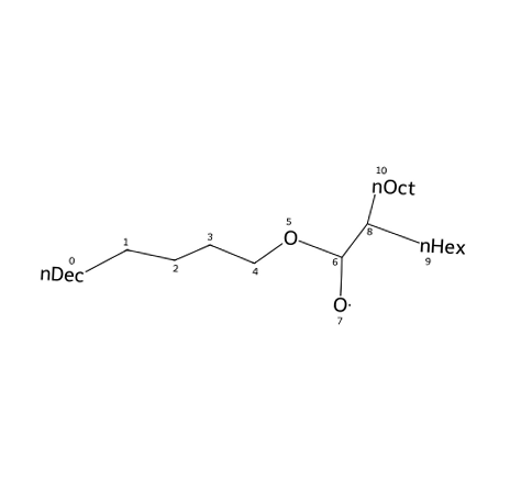 CCCCCCCCCCCCCCOC([O])C(CCCCCC)CCCCCCCC